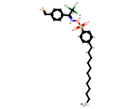 CCCCCCCCCCCCc1ccc(S(=O)(=O)ON=C(c2ccc(C=S)cc2)C(F)(F)F)cc1